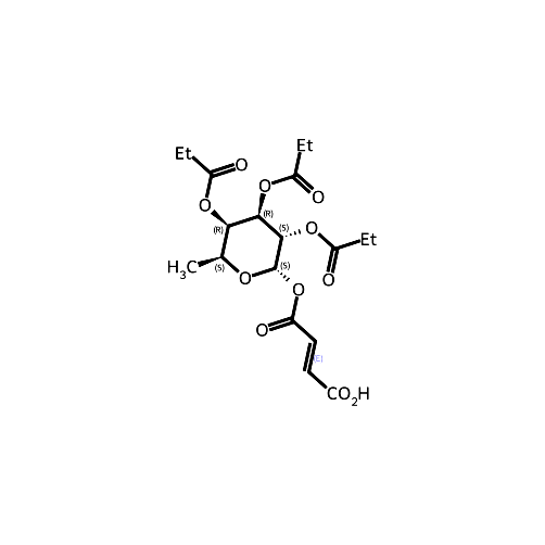 CCC(=O)O[C@H]1[C@H](OC(=O)CC)[C@H](OC(=O)/C=C/C(=O)O)O[C@@H](C)[C@H]1OC(=O)CC